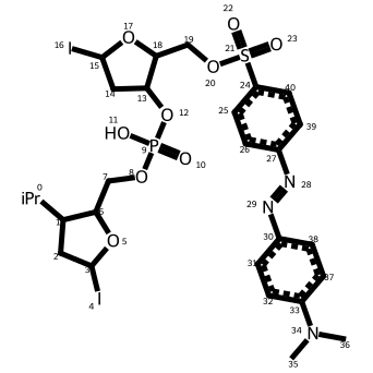 CC(C)C1CC(I)OC1COP(=O)(O)OC1CC(I)OC1COS(=O)(=O)c1ccc(N=Nc2ccc(N(C)C)cc2)cc1